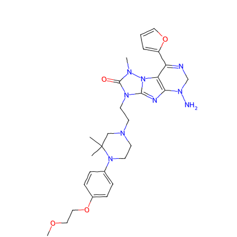 COCCOc1ccc(N2CCN(CCn3c(=O)n(C)n4c5c(nc34)N(N)CN=C5c3ccco3)CC2(C)C)cc1